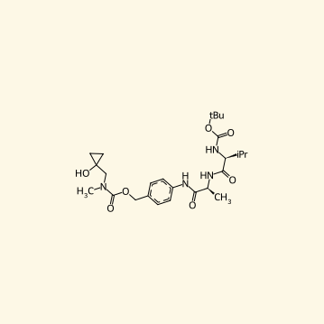 CC(C)[C@H](NC(=O)OC(C)(C)C)C(=O)N[C@@H](C)C(=O)Nc1ccc(COC(=O)N(C)CC2(O)CC2)cc1